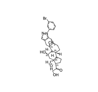 C[C@@]12Cc3cnn(-c4cccc(Br)c4)c3C=C1CC[C@H]1[C@H]2[C@H](O)C[C@]2(C)[C@@H]1CC[C@@]2(O)C(=O)CO